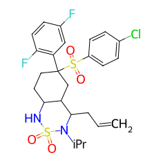 C=CCC1C2CC(c3cc(F)ccc3F)(S(=O)(=O)c3ccc(Cl)cc3)CCC2NS(=O)(=O)N1C(C)C